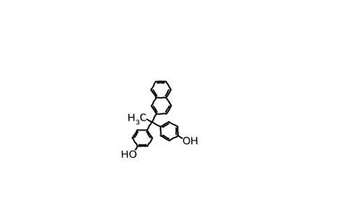 CC(c1ccc(O)cc1)(c1ccc(O)cc1)c1ccc2ccccc2c1